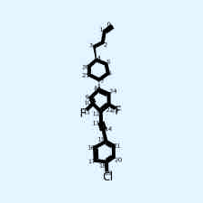 C=CCC[C@H]1CC[C@H](c2cc(F)c(C#Cc3ccc(Cl)cc3)c(F)c2)CC1